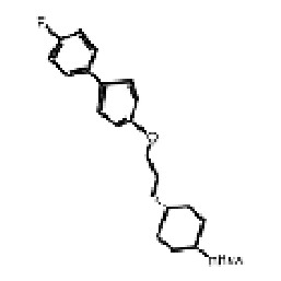 CCCCCC[C@H]1CC[C@H](CCCOc2ccc(-c3ccc(F)cc3)cc2)CC1